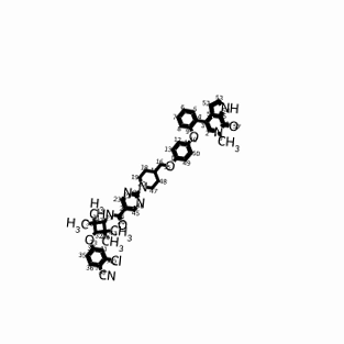 Cn1cc(-c2ccccc2Oc2ccc(OCC3CCN(c4ncc(C(=O)NC5C(C)(C)C(Oc6ccc(C#N)c(Cl)c6)C5(C)C)cn4)CC3)cc2)c2cc[nH]c2c1=O